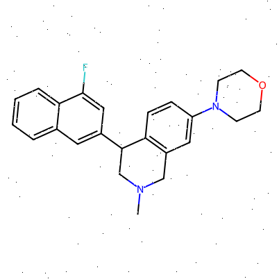 CN1Cc2cc(N3CCOCC3)ccc2C(c2cc(F)c3ccccc3c2)C1